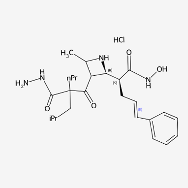 CCCC(CC(C)C)(C(=O)NN)C(=O)C1C(C)N[C@H]1[C@H](C/C=C/c1ccccc1)C(=O)NO.Cl